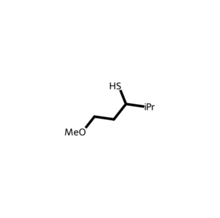 COCCC(S)C(C)C